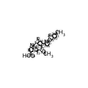 COCCC1(Cn2c(Cc3cc(F)c(-c4cccc(OCc5ccc(C)cc5F)n4)cc3F)nc3ccc(C(=O)O)cc32)CC1